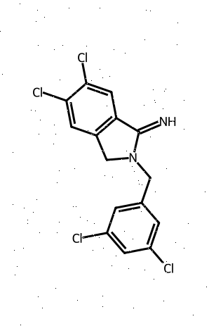 N=C1c2cc(Cl)c(Cl)cc2CN1Cc1cc(Cl)cc(Cl)c1